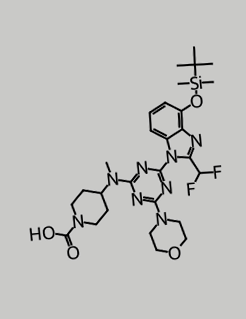 CN(c1nc(N2CCOCC2)nc(-n2c(C(F)F)nc3c(O[Si](C)(C)C(C)(C)C)cccc32)n1)C1CCN(C(=O)O)CC1